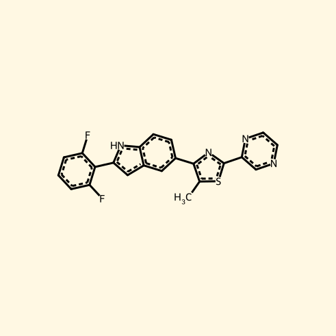 Cc1sc(-c2cnccn2)nc1-c1ccc2[nH]c(-c3c(F)cccc3F)cc2c1